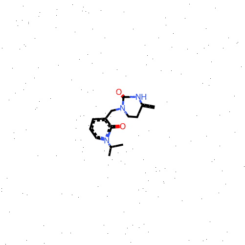 C=C1CCN(Cc2cccn(C(C)C)c2=O)C(=O)N1